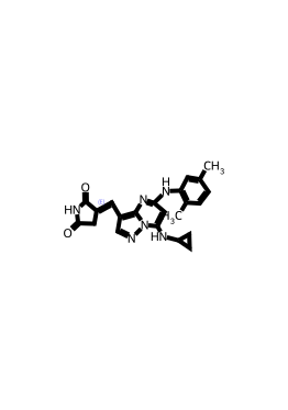 Cc1ccc(C)c(Nc2cc(NC3CC3)n3ncc(/C=C4\CC(=O)NC4=O)c3n2)c1